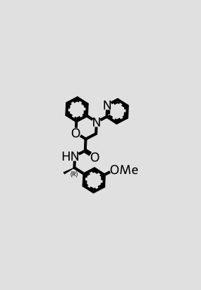 COc1cccc([C@@H](C)NC(=O)C2CN(c3ccccn3)c3ccccc3O2)c1